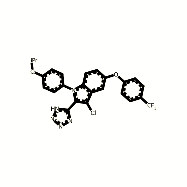 CC(C)Oc1ccc(-n2c(-c3nnn[nH]3)c(Cl)c3cc(Oc4ccc(C(F)(F)F)cc4)ccc32)cc1